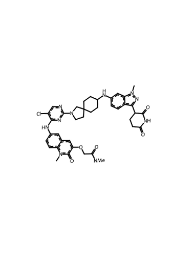 CNC(=O)COc1cc2cc(Nc3nc(N4CCC5(CCC(Nc6ccc7c(C8CCC(=O)NC8=O)nn(C)c7c6)CC5)C4)ncc3Cl)ccc2n(C)c1=O